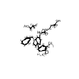 COc1ccc(C23CCC(NC(=O)NCCC(=O)O)CC2N(Cc2ccccc2)CC3)cc1OC.O=C(O)C(F)(F)F